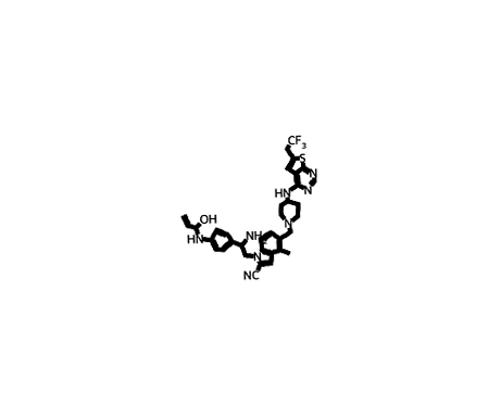 C=CC(O)Nc1ccc(C(N)Cn2c(C#N)cc3c(C)c(CN4CCC(Nc5ncnc6sc(CC(F)(F)F)cc56)CC4)ccc32)cc1